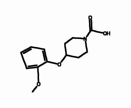 COc1ccccc1OC1CCN(C(=O)O)CC1